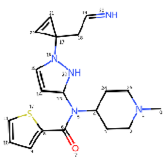 CN1CCC(N(C(=O)c2cccs2)C2C=CN(C3(CC=N)C=C3)N2)CC1